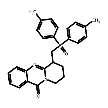 Cc1ccc(P(=O)(CC2CCCn3c2nc2ccccc2c3=O)c2ccc(C)cc2)cc1